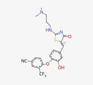 CN(C)CCCNC1=NC(=O)/C(=C/c2ccc(Oc3ccc(C#N)cc3C(F)(F)F)c(O)c2)S1